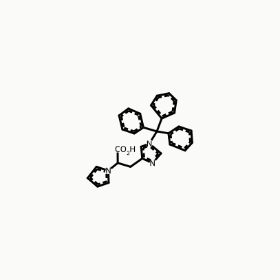 O=C(O)C(Cc1cn(C(c2ccccc2)(c2ccccc2)c2ccccc2)cn1)n1cccc1